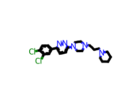 Clc1ccc(-c2ccc(N3CCN(CCCN4CCCCC4)CC3)nn2)cc1Cl